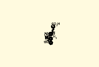 CNC.Cc1c(OCC2(CO[Si](c3ccccc3)(c3ccccc3)C(C)(C)C)CC2)ccc2c(CCC3CCN(C(=O)O)CC3)noc12